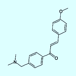 COc1ccc(/C=C/C(=O)c2ccc(CN(C)C)cc2)cc1